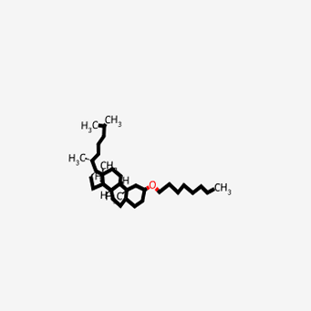 CCCCCCCCOC1CCC2CC[C@H]3[C@@H]4CC[C@H]([C@H](C)CCCC(C)C)[C@@]4(C)CC[C@@H]3[C@@]2(C)C1